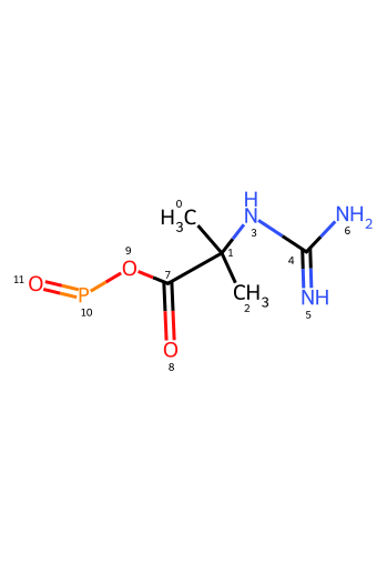 CC(C)(NC(=N)N)C(=O)OP=O